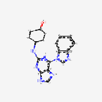 OC1CCC(Nc2nc(-n3cnc4ccccc43)c3nc[nH]c3n2)CC1